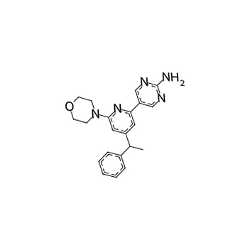 CC(c1ccccc1)c1cc(-c2cnc(N)nc2)nc(N2CCOCC2)c1